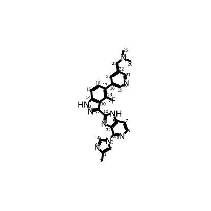 Cc1cn(-c2nccc3[nH]c(-c4n[nH]c5ccc(-c6cncc(CN(C)C)c6)c(F)c45)nc23)cn1